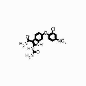 NC(=O)Nc1[nH]c2cc(Oc3ccc([N+](=O)[O-])cc3Cl)ccc2c1C(N)=O